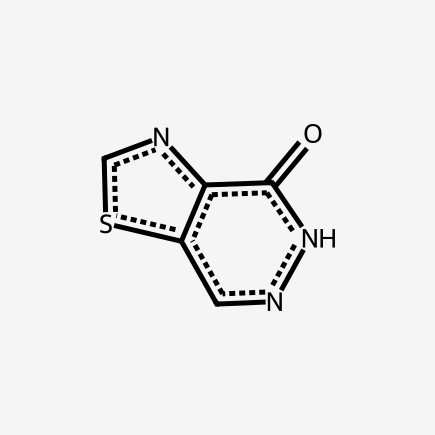 O=c1[nH]ncc2scnc12